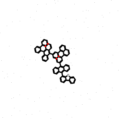 c1ccc(-c2ccccc2-c2c3ccccc3c(-c3cccc(-c4cccc5cccc(-c6cccc(-c7c8ccccc8c(-c8cccc9c8oc8ccccc89)c8ccccc78)c6)c45)c3)c3ccccc23)cc1